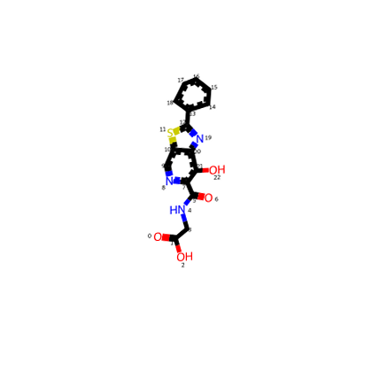 O=C(O)CNC(=O)c1ncc2sc(-c3ccccc3)nc2c1O